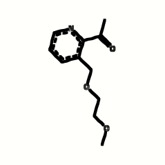 COCCOCc1cccnc1C(C)=O